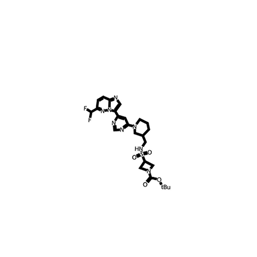 CC(C)(C)OC(=O)N1CC(S(=O)(=O)NCC2CCCN(c3cc(-c4cnc5ccc(C(F)F)nn45)ncn3)C2)C1